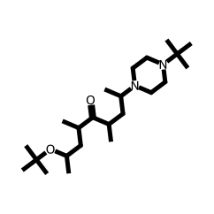 CC(CC(C)C(=O)C(C)CC(C)N1CCN(C(C)(C)C)CC1)OC(C)(C)C